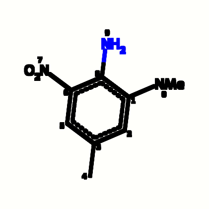 CNc1cc(C)cc([N+](=O)[O-])c1N